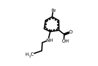 CCCNc1ccc(Br)cc1C(=O)O